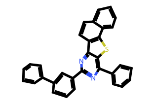 c1ccc(-c2cccc(-c3nc(-c4ccccc4)c4sc5c6ccccc6ccc5c4n3)c2)cc1